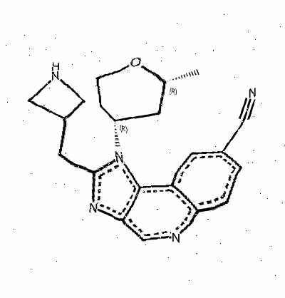 C[C@@H]1C[C@H](n2c(CC3CNC3)nc3cnc4ccc(C#N)cc4c32)CCO1